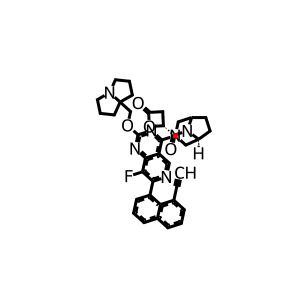 C#Cc1cccc2cccc(-c3ncc4c(N5CC6CC[C@@H](C5)N6C(=O)[C@H]5CC(=O)O5)nc(OCC56CCCN5CCC6)nc4c3F)c12